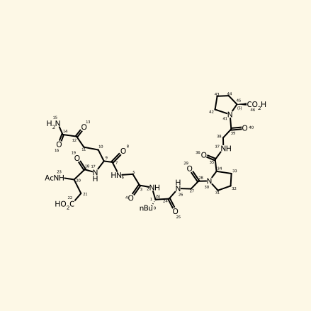 CCCC[C@H](NC(=O)CNC(=O)C(CCC(=O)C(N)=O)NC(=O)C(CC(=O)O)NC(C)=O)C(=O)NCC(=O)N1CCCC1C(=O)NCC(=O)N1CCC[C@H]1C(=O)O